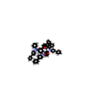 C=C/C=C\C1=C(N(c2ccccc2)c2ccc(-c3ccccc3)cc2)c2ccccc2C12c1ccccc1-c1ccc(-c3cc(N(c4ccccc4)c4ccc(-c5ccccc5)cc4)cc(N(c4ccccc4)c4ccc(-c5ccccc5)cc4)c3)cc12